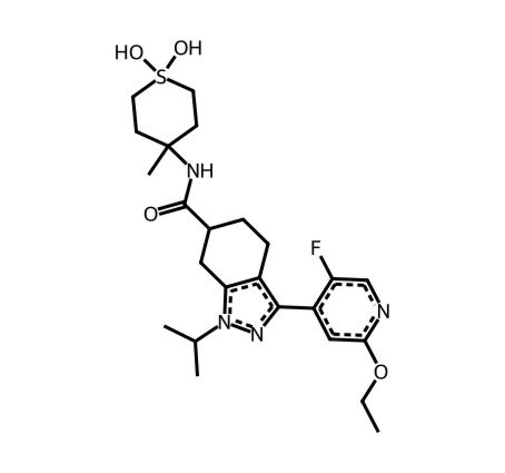 CCOc1cc(-c2nn(C(C)C)c3c2CCC(C(=O)NC2(C)CCS(O)(O)CC2)C3)c(F)cn1